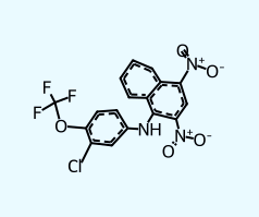 O=[N+]([O-])c1cc([N+](=O)[O-])c2ccccc2c1Nc1ccc(OC(F)(F)F)c(Cl)c1